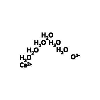 O.O.O.O.O.O.[Ca+2].[O-2]